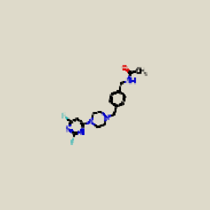 CC(=O)NCc1ccc(CN2CCN(c3cc(F)nc(F)n3)CC2)cc1